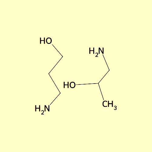 CC(O)CN.NCCCO